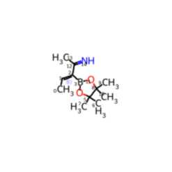 C/C=C(\B1OC(C)(C)C(C)(C)O1)C(C)=N